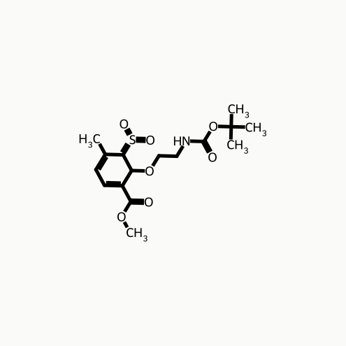 COC(=O)C1=CC=C(C)C(=S(=O)=O)C1OCCNC(=O)OC(C)(C)C